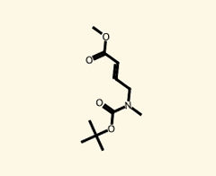 COC(=O)C=CCN(C)C(=O)OC(C)(C)C